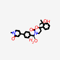 C[C@@H](c1ccc(-c2ccn(C)c(=O)c2)cc1)N1CC[C@](CC(C)(C)O)(c2ccccc2)OC1=O.O